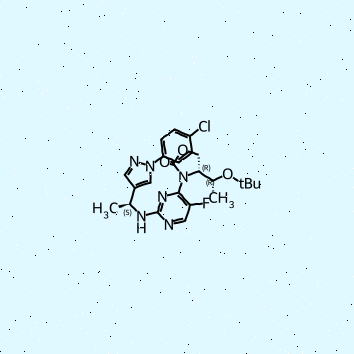 C[C@H](Nc1ncc(F)c(N2C(=O)OC[C@@H]2[C@@H](C)OC(C)(C)C)n1)c1cnn(-c2ccc(Cl)cc2)c1